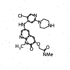 CNC(=O)COc1cc2cc(Nc3cc(N4CCNCC4)ncc3Cl)cnc2n(C)c1=O